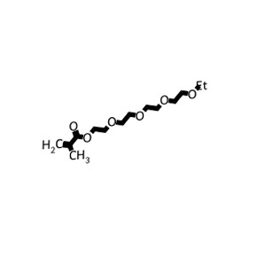 C=C(C)C(=O)OCCOCCOCCOCCOCC